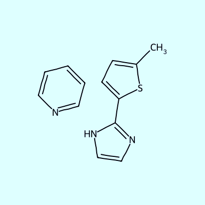 Cc1ccc(-c2ncc[nH]2)s1.c1ccncc1